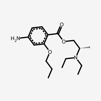 CCCOc1cc(N)ccc1C(=O)OC[C@H](C)N(CC)CC